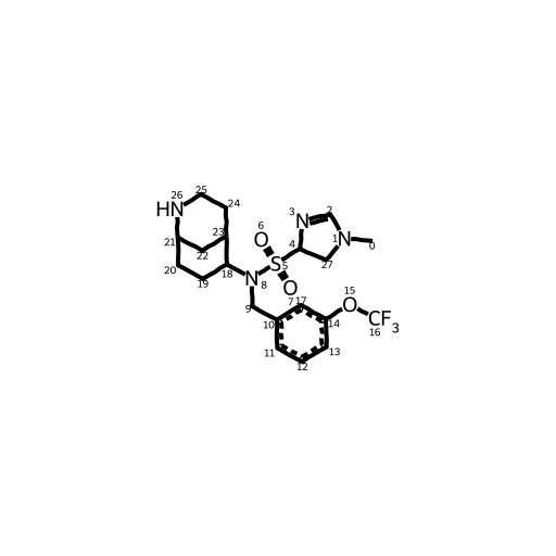 CN1C=NC(S(=O)(=O)N(Cc2cccc(OC(F)(F)F)c2)C2CCC3CC2CCN3)C1